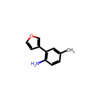 Cc1ccc(N)c(-c2ccoc2)c1